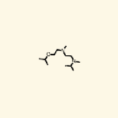 CC(C)OCCN(C)CCN(C)C(C)C